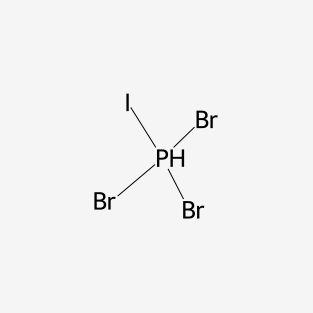 Br[PH](Br)(Br)I